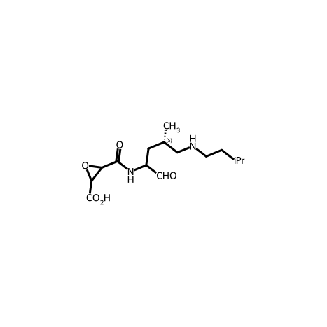 CC(C)CCNC[C@@H](C)CC(C=O)NC(=O)C1OC1C(=O)O